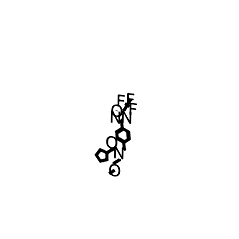 COCCN(Cc1ccc(-c2noc(C(F)(F)F)n2)cc1)C(=O)C1CCCC1